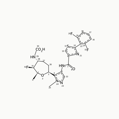 C[C@@H]1O[C@H](c2c(NC(=O)c3csc(-c4c(F)cccc4F)n3)cnn2C)CC[C@@H](NC(=O)O)[C@@H]1F